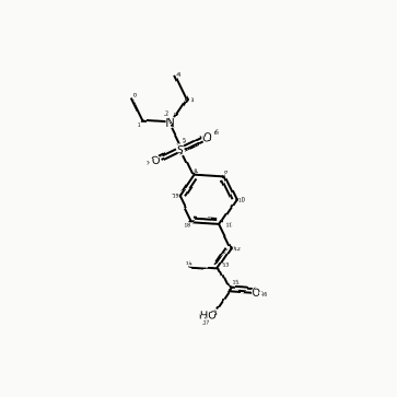 CCN(CC)S(=O)(=O)c1ccc(/C=C(\C)C(=O)O)cc1